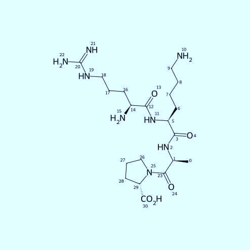 C[C@H](NC(=O)[C@H](CCCCN)NC(=O)[C@@H](N)CCCNC(=N)N)C(=O)N1CCC[C@H]1C(=O)O